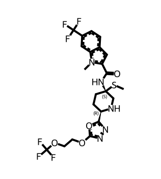 CS[C@@]1(NC(=O)c2cc3ccc(C(F)(F)F)cc3n2C)CC[C@H](c2nnc(OCCOC(F)(F)F)o2)NC1